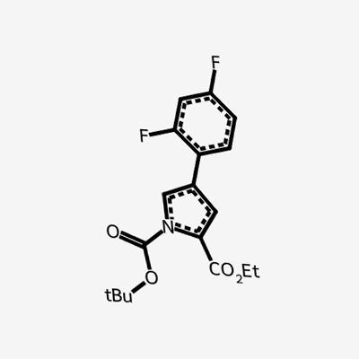 CCOC(=O)c1cc(-c2ccc(F)cc2F)cn1C(=O)OC(C)(C)C